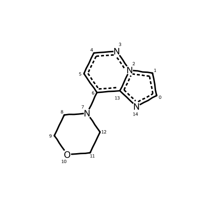 c1cn2nccc(N3CCOCC3)c2n1